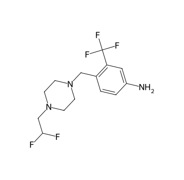 Nc1ccc(CN2CCN(CC(F)F)CC2)c(C(F)(F)F)c1